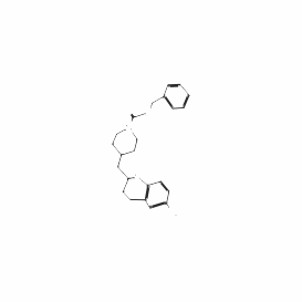 O=C(OCc1ccccc1)N1CCC(CC2CCc3cc(Br)ccc3N2)CC1